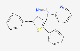 c1ccc(-c2sc(-c3ccccc3)c3c2ncn3-c2ccccn2)cc1